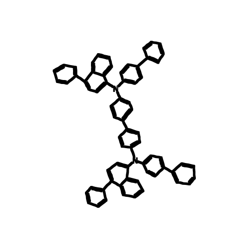 c1ccc(-c2ccc(N(c3ccc(-c4ccc(N(c5ccc(-c6ccccc6)cc5)c5ccc(-c6ccccc6)c6ccccc56)cc4)cc3)c3ccc(-c4ccccc4)c4ccccc34)cc2)cc1